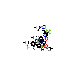 CCOC(=O)C[C@H](NC(=O)C(CC(C)C)n1cc(CCN(C)C)c(C(F)(F)F)cc1=O)c1c(F)c(C)cc(-c2c(C)cc(C)cc2C)c1F